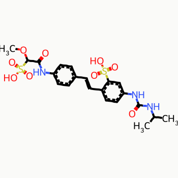 COC(C(=O)Nc1ccc(/C=C/c2ccc(NC(=O)NC(C)C)cc2S(=O)(=O)O)cc1)S(=O)(=O)O